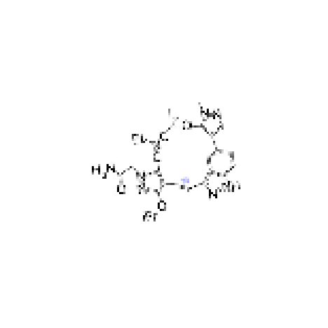 CCN1Cc2c(c(OC(C)C)nn2CC(N)=O)/C=C/c2n[nH]c3ccc(cc23)-c2cnn(C)c2O[C@@H](C)C1